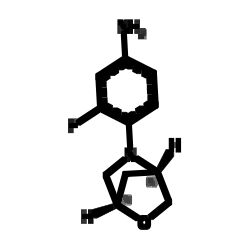 Nc1ccc(N2C[C@@H]3C[C@H]2CO3)c(F)c1